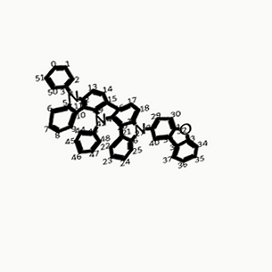 c1ccc(-n2c3ccccc3c3c2ccc2c4ccc5c(c6ccccc6n5-c5ccc6oc7ccccc7c6c5)c4n(-c4ccccc4)c23)cc1